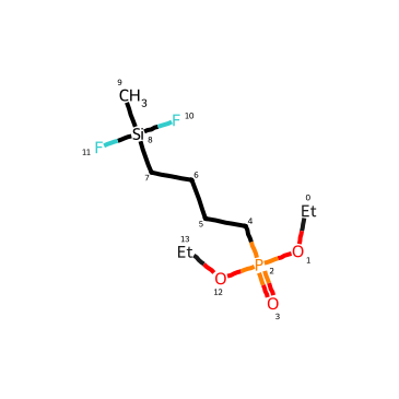 CCOP(=O)(CCCC[Si](C)(F)F)OCC